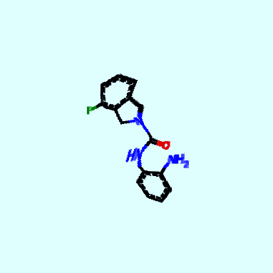 Nc1ccccc1NC(=O)N1Cc2cccc(F)c2C1